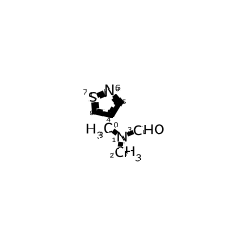 CN(C)C=O.c1cnsc1